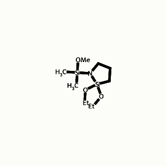 CCO[Si]1(OCC)CCCN1[Si](C)(C)OC